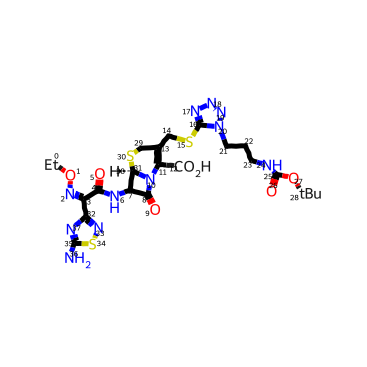 CCO/N=C(\C(=O)NC1C(=O)N2C(C(=O)O)=C(CSc3nnnn3CCCNC(=O)OC(C)(C)C)CS[C@H]12)c1nsc(N)n1